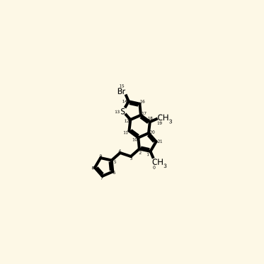 CC1=C(CCC2=CC=CC2)C2=CC3SC(Br)=CC3=C(C)C2=C1